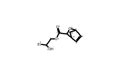 CCC(O)COC(=O)C1OC2C=CC1C2